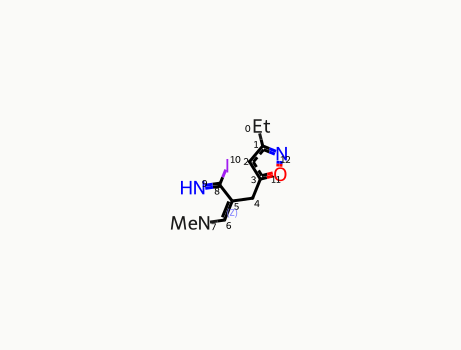 CCc1cc(C/C(=C/NC)C(=N)I)on1